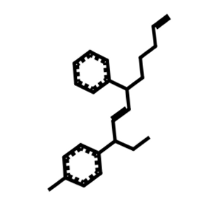 C=CCCCC(C=CC(CC)c1ccc(C)cc1)c1ccccc1